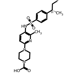 Cc1nc(N2CCN(C(=O)O)CC2)ccc1NS(=O)(=O)c1ccc([C@@H](C)CF)cc1